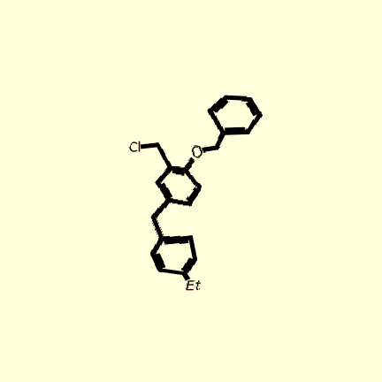 CCc1ccc(Cc2ccc(OCc3ccccc3)c(CCl)c2)cc1